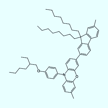 CCCCCCCCC1(CCCCCCCC)c2cc(C)ccc2-c2ccc(-c3ccc4c(c3)Oc3cc(C)ccc3N4c3ccc(OCC(CC)CCCC)cc3)cc21